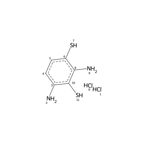 Cl.Cl.Nc1ccc(S)c(N)c1S